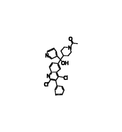 CC(=O)N1CCC(C(O)(c2cccnc2)c2ccc3nc(Cl)c(-c4ccccc4)c(Cl)c3c2)CC1